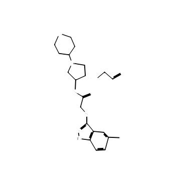 C=CCO[C@H]1CN(C2CCOCC2)CC1NC(=O)CNc1n[nH]c2ccc(C(F)(F)F)cc12